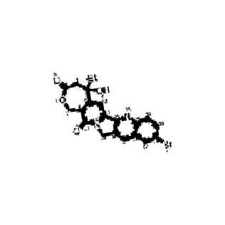 CCC1(O)CC(=O)OCc2c1cc1n(c2=O)Cc2cc3cc(Br)ccc3nc2-1